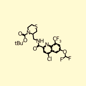 CC(C)(C)OC(=O)N1CCSCC1CNC(=O)c1cc(Cl)c2cc(OC(F)F)cc(C(F)(F)F)c2n1